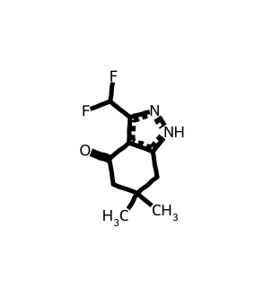 CC1(C)CC(=O)c2c(C(F)F)n[nH]c2C1